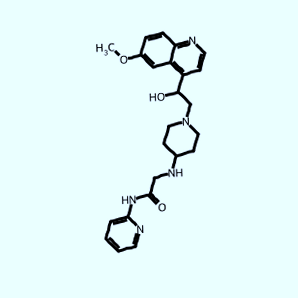 COc1ccc2nccc(C(O)CN3CCC(NCC(=O)Nc4ccccn4)CC3)c2c1